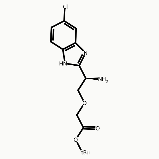 CC(C)(C)OC(=O)COC[C@H](N)c1nc2cc(Cl)ccc2[nH]1